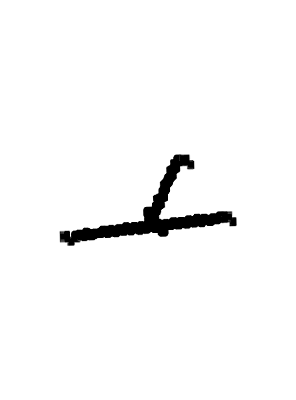 CCCCCCCCC=CCCCCCCCCOC(COC(=O)CCCCCCCCCCCCCCC)COC(=O)CCCCCCCCCCCCCCC